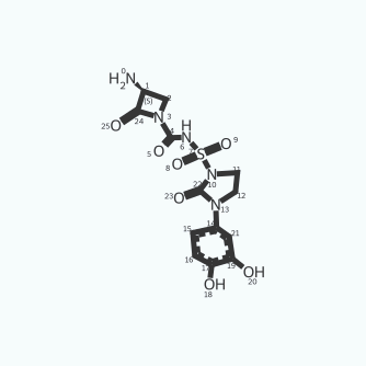 N[C@H]1CN(C(=O)NS(=O)(=O)N2CCN(c3ccc(O)c(O)c3)C2=O)C1=O